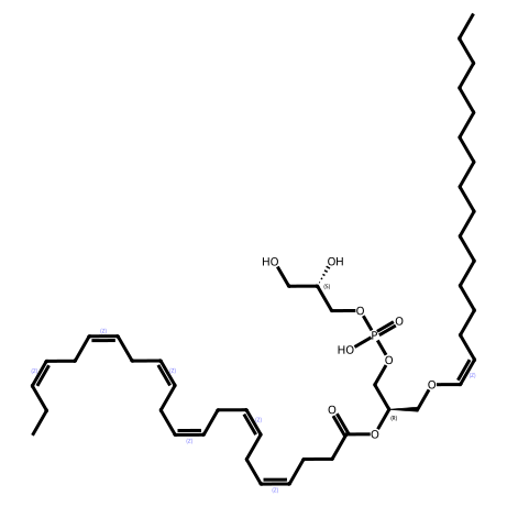 CC/C=C\C/C=C\C/C=C\C/C=C\C/C=C\C/C=C\CCC(=O)O[C@H](CO/C=C\CCCCCCCCCCCCCC)COP(=O)(O)OC[C@@H](O)CO